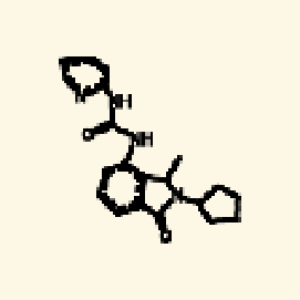 CC1c2c(NC(=O)Nc3ccccn3)cccc2C(=O)N1C1CCCC1